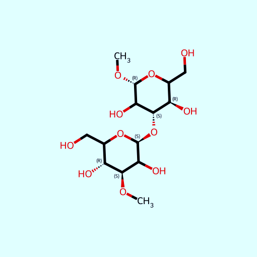 CO[C@@H]1OC(CO)[C@@H](O)[C@H](O[C@@H]2OC(CO)[C@@H](O)[C@H](OC)C2O)C1O